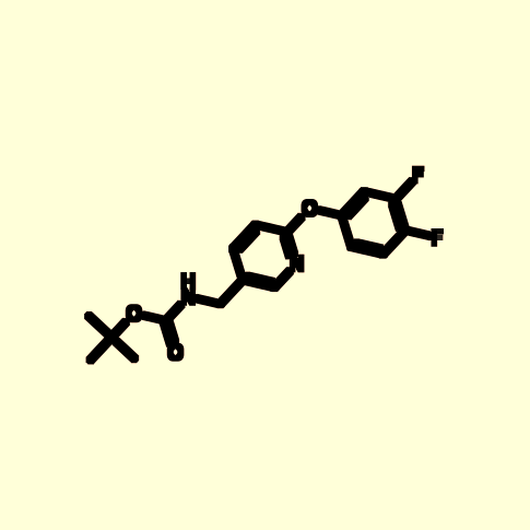 CC(C)(C)OC(=O)NCc1ccc(Oc2ccc(F)c(F)c2)nc1